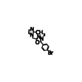 Cc1nccn1Cc1nnc(-c2ccc(Br)cc2)o1